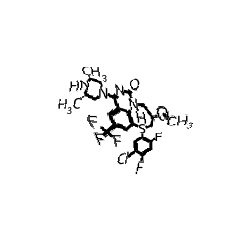 CO[C@@H]1Cn2c(=O)nc(N3C[C@@H](C)N[C@@H](C)C3)c3cc(C(F)(F)F)cc(c32)[SH](c2cc(Cl)c(F)cc2F)C1